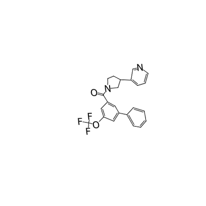 O=C(c1cc(OC(F)(F)F)cc(-c2ccccc2)c1)N1CCC(c2cccnc2)C1